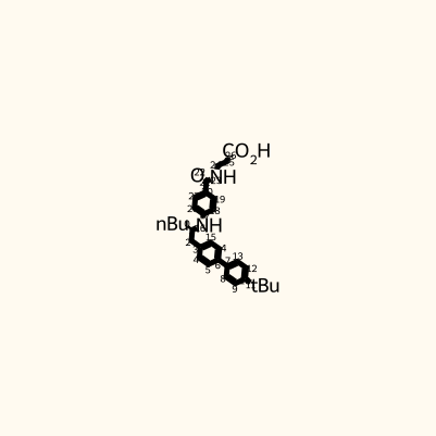 CCCC[C@H](Cc1ccc(-c2ccc(C(C)(C)C)cc2)cc1)Nc1ccc(C(=O)NCCC(=O)O)cc1